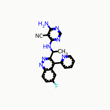 CC(Nc1ncnc(N)c1C#N)c1nnc2ccc(F)cc2c1-c1ccccn1